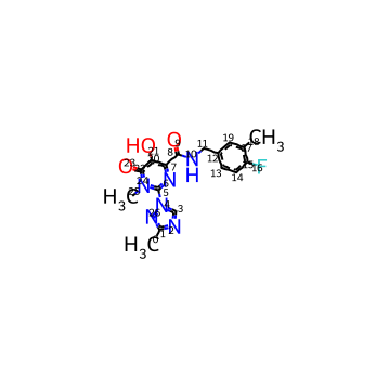 Cc1ncn(-c2nc(C(=O)NCc3ccc(F)c(C)c3)c(O)c(=O)n2C)n1